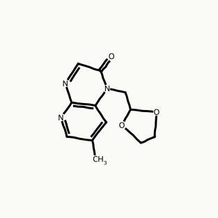 Cc1cnc2ncc(=O)n(CC3OCCO3)c2c1